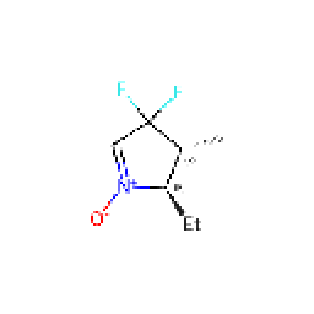 CC[C@@H]1[C@@H](C)C(F)(F)C=[N+]1[O-]